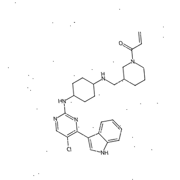 C=CC(=O)N1CCCC(CNC2CCC(Nc3ncc(Cl)c(-c4c[nH]c5ccccc45)n3)CC2)C1